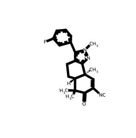 [C-]#[N+]C1=C[C@]2(C)c3nn(C)c(-c4cccc(F)c4)c3CC[C@H]2C(C)(C)C1=O